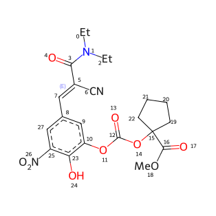 CCN(CC)C(=O)/C(C#N)=C/c1cc(OC(=O)OC2(C(=O)OC)CCCC2)c(O)c([N+](=O)[O-])c1